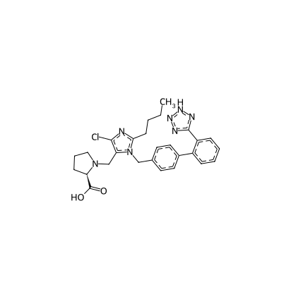 CCCCc1nc(Cl)c(CN2CCC[C@@H]2C(=O)O)n1Cc1ccc(-c2ccccc2-c2nn[nH]n2)cc1